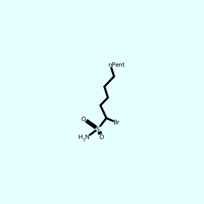 CCCCCCCCCC(Br)S(N)(=O)=O